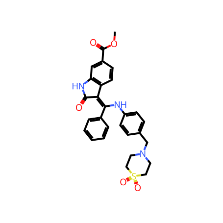 COC(=O)c1ccc2c(c1)NC(=O)C2=C(Nc1ccc(CN2CCS(=O)(=O)CC2)cc1)c1ccccc1